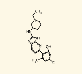 CCN1CCC[C@@H](Nc2nc3ccc(-c4c(C)cc(Cl)cc4O)nc3[nH]2)C1